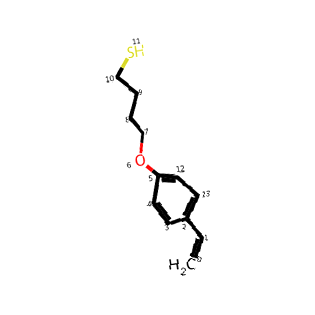 C=Cc1ccc(OCCCCS)cc1